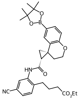 CCOC(=O)CCCc1ccc(C#N)cc1NC(=O)[C@@H]1C[C@]12CCOc1ccc(B3OC(C)(C)C(C)(C)O3)cc12